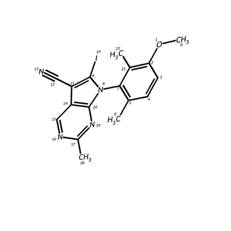 COc1ccc(C)c(-n2c(I)c(C#N)c3cnc(C)nc32)c1C